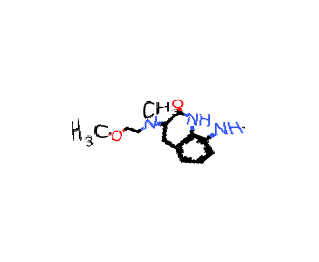 COCCN(C)C1Cc2cccc([NH])c2NC1=O